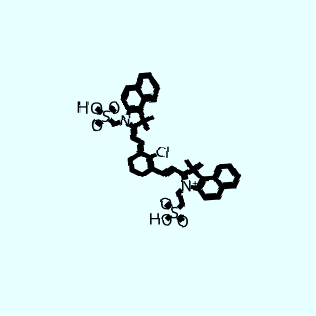 CC1(C)C(/C=C/C2=C(Cl)C(=C/C=C3/N(CS(=O)(=O)O)c4ccc5ccccc5c4C3(C)C)/CCC2)=[N+](CCS(=O)(=O)O)c2ccc3ccccc3c21